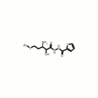 CC(C)SCC[C@@H](N)C(O)C(=O)NNC(=O)c1ccco1